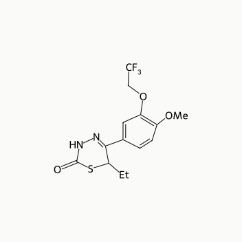 CCC1SC(=O)NN=C1c1ccc(OC)c(OCC(F)(F)F)c1